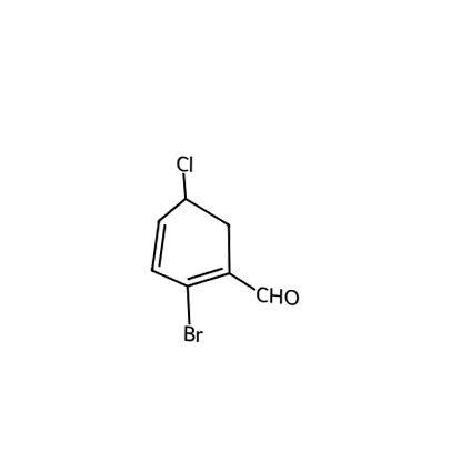 O=CC1=C(Br)C=CC(Cl)C1